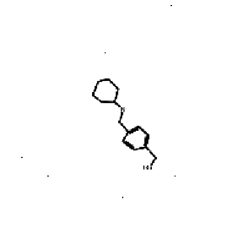 CC(C)(C)Cc1ccc(CNC2CCCCC2)cc1